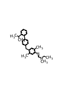 CCN(C)C=Nc1cc(C)c(Cc2ccc(-c3ccccc3C(C)C)cc2)cc1C